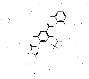 CSc1nn(-c2cc(O[C@@H](C)C(F)(F)F)c(C(=O)Nc3c(F)cccc3F)cc2F)c(=O)n1C